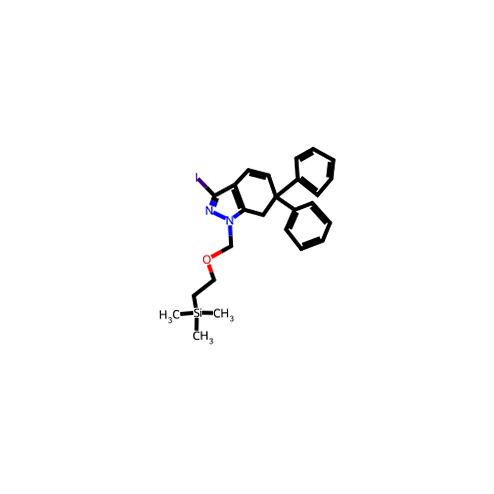 C[Si](C)(C)CCOCn1nc(I)c2c1CC(c1ccccc1)(c1ccccc1)C=C2